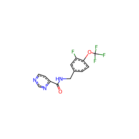 O=C(NCc1ccc(OC(F)(F)F)c(F)c1)c1ccncn1